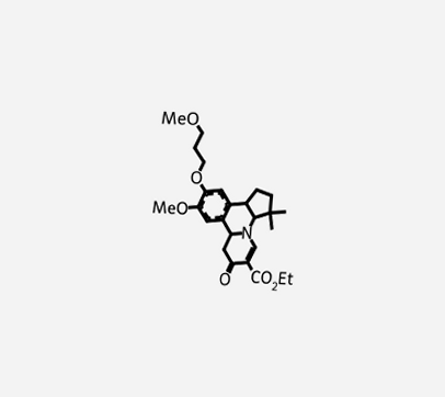 CCOC(=O)C1=CN2C(CC1=O)c1cc(OC)c(OCCCOC)cc1C1CCC(C)(C)C12